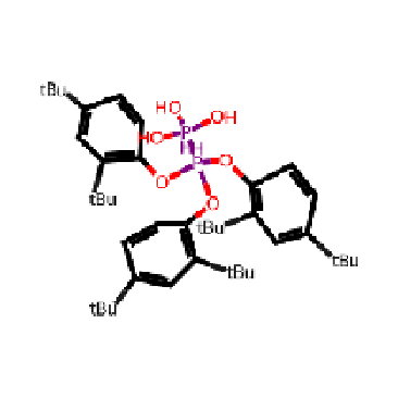 CC(C)(C)c1ccc(O[PH](Oc2ccc(C(C)(C)C)cc2C(C)(C)C)(Oc2ccc(C(C)(C)C)cc2C(C)(C)C)[PH](O)(O)O)c(C(C)(C)C)c1